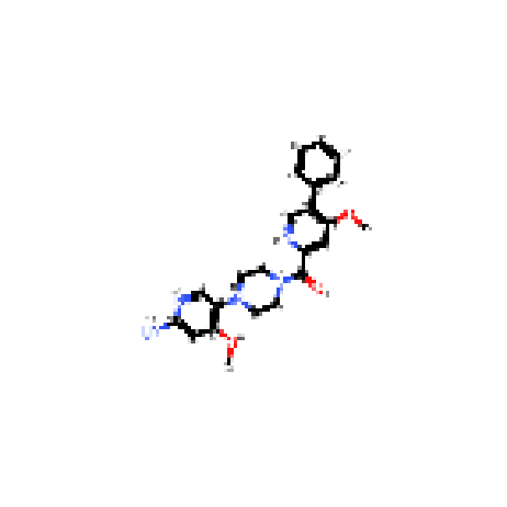 COc1cc(C(=O)N2CCN(c3cnc(N)cc3OC)CC2)ncc1-c1ccccc1